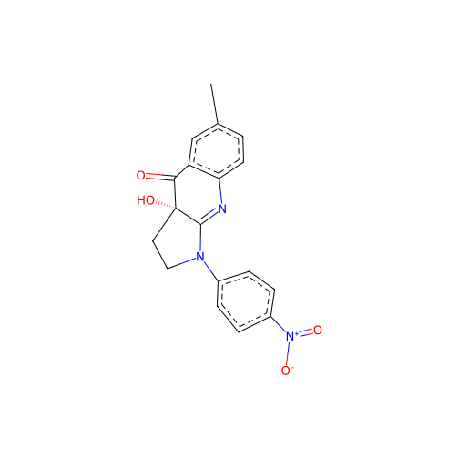 Cc1ccc2c(c1)C(=O)[C@]1(O)CCN(c3ccc([N+](=O)[O-])cc3)C1=N2